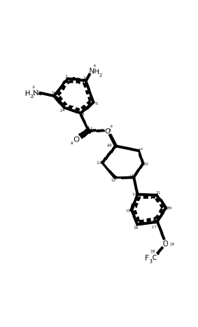 Nc1cc(N)cc(C(=O)OC2CCC(c3ccc(OC(F)(F)F)cc3)CC2)c1